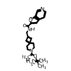 C=C(OC(C)(C)C)N1CCC2(CC1)CC(CNC(=O)c1cc3ccncc3o1)C2